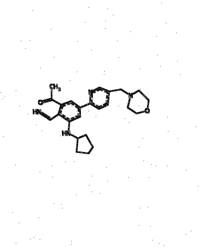 CC(=O)c1cc(-c2ccc(CN3CCOCC3)cn2)cc(NC2CCCC2)c1C=N